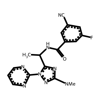 CNc1nc(C(C)NC(=O)c2cc(F)cc(C#N)c2)n(-c2ncccn2)n1